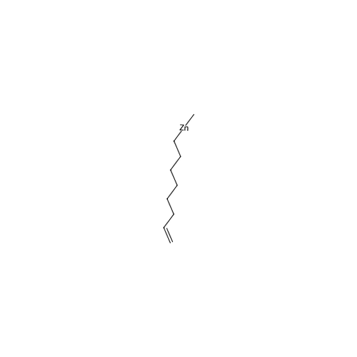 C=CCCCCC[CH2][Zn][CH3]